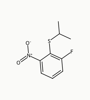 CC(C)Sc1c(F)cccc1[N+](=O)[O-]